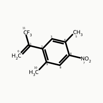 C=C(c1cc(C)c([N+](=O)[O-])cc1C)C(F)(F)F